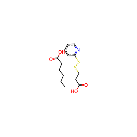 CCCCCC(=O)O.O=C(O)CCSSc1ccccn1